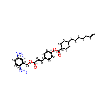 C=CCCCCCC1CCC(C(=O)Oc2ccc(/C=C/C(=O)OCc3cc(N)ccc3N)cc2)CC1